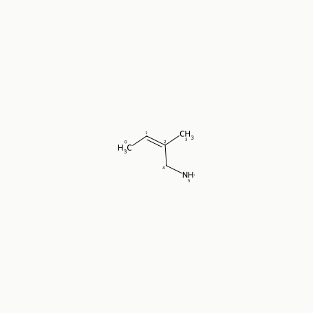 CC=C(C)C[NH]